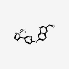 Cn1nccc1-c1ccc(Oc2ccc3cc(C=O)cnc3c2)nc1